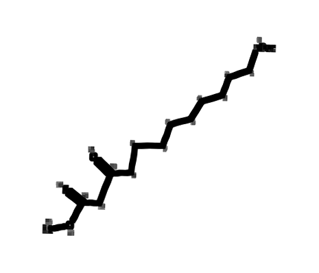 CCCCCCCCCCCCCCCCCCCC(=O)CC(=S)OCC